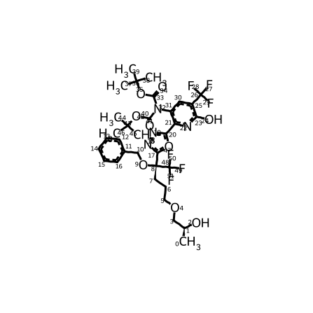 C[C@H](O)COCCC[C@@](OCc1ccccc1)(c1nnc(-c2nc(O)c(C(F)(F)F)cc2N(C(=O)OC(C)(C)C)C(=O)OC(C)(C)C)o1)C(F)(F)F